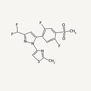 Cc1nc(-n2nc(C(F)F)cc2-c2cc(F)c(S(C)(=O)=O)cc2F)cs1